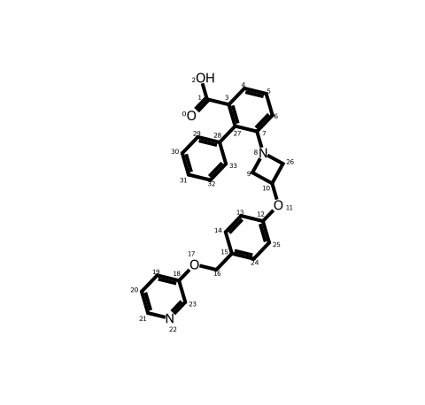 O=C(O)c1cccc(N2CC(Oc3ccc(COc4cccnc4)cc3)C2)c1-c1ccccc1